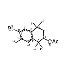 CC(=O)OC1CC(C)(C)c2cc(Br)c(C)cc2C1(C)C